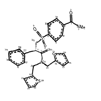 CNC(=O)c1ccc(S(=O)(=O)C[C@H](C(=O)N(Cc2ccco2)Cc2cccs2)c2ccccc2)cc1